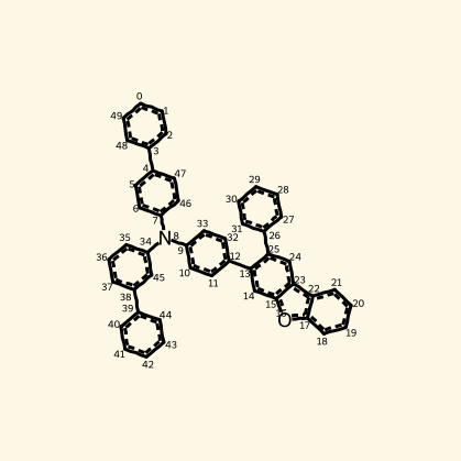 c1ccc(-c2ccc(N(c3ccc(-c4cc5oc6ccccc6c5cc4-c4ccccc4)cc3)c3cccc(-c4ccccc4)c3)cc2)cc1